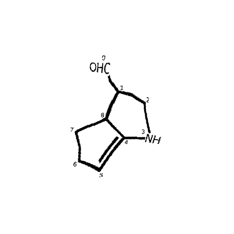 O=CC1CNC2=CCCC21